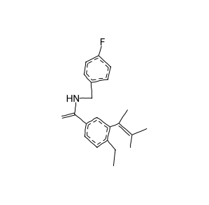 C=C(NCc1ccc(F)cc1)c1ccc(CC)c(C(C)=C(C)C)c1